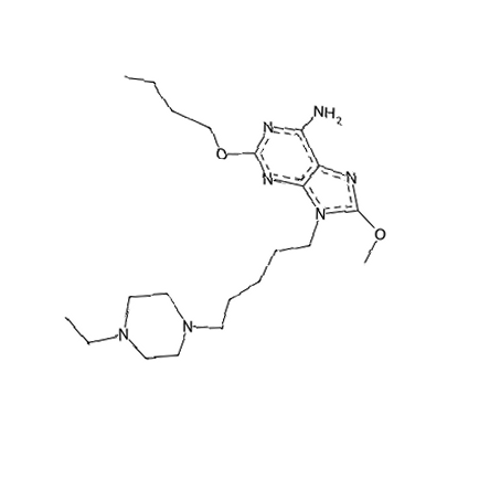 CCCCOc1nc(N)c2nc(OC)n(CCCCCN3CCN(CC)CC3)c2n1